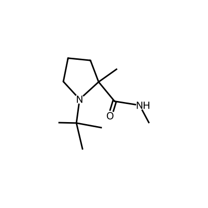 CNC(=O)C1(C)CCCN1C(C)(C)C